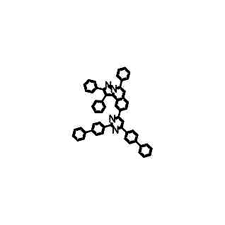 c1ccc(-c2ccc(-c3cc(-c4ccc5cc(-c6ccccc6)n6nc(-c7ccccc7)c(-c7ccccc7)c6c5c4)nc(-c4ccc(-c5ccccc5)cc4)n3)cc2)cc1